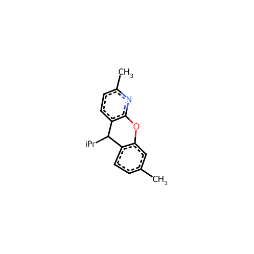 Cc1ccc2c(c1)Oc1nc(C)ccc1C2C(C)C